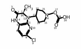 C[C@@H]1C(=O)Nc2ccc(Cl)nc2N1C1CCN(OC(=O)O)CC1